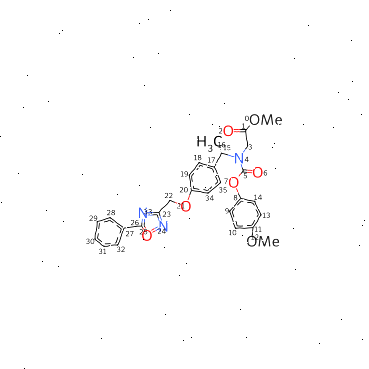 COC(=O)CN(C(=O)Oc1ccc(OC)cc1)[C@@H](C)c1ccc(OCc2noc(-c3ccccc3)n2)cc1